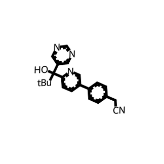 CC(C)(C)C(O)(c1cncnc1)c1ccc(-c2ccc(CC#N)cc2)cn1